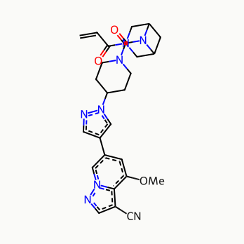 C=CC(=O)N1CC2CC(C1)N2C(=O)N1CCC(n2cc(-c3cc(OC)c4c(C#N)cnn4c3)cn2)CC1